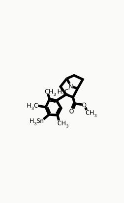 COC(=O)C1C(c2cc(C)[c]([SnH3])c(C)c2C)CC2CCC1N2C